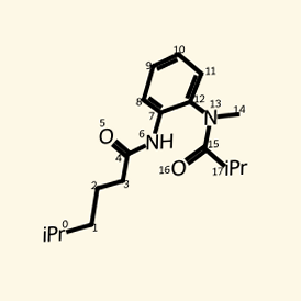 CC(C)CCCC(=O)Nc1ccccc1N(C)C(=O)C(C)C